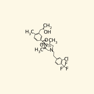 C=C(O)Cc1cc(S(=O)(=O)N2[C@H](C)CN(CCc3ccc(C(F)(F)F)c(Cl)c3)C[C@@H]2C)ccc1C